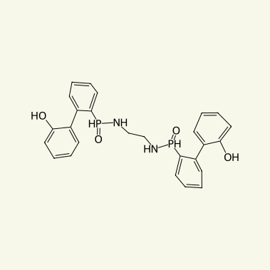 O=[PH](NCCN[PH](=O)c1ccccc1-c1ccccc1O)c1ccccc1-c1ccccc1O